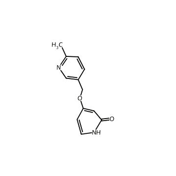 Cc1ccc(COc2cc[nH]c(=O)c2)cn1